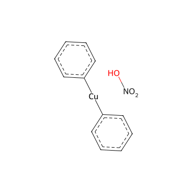 O=[N+]([O-])O.c1cc[c]([Cu][c]2ccccc2)cc1